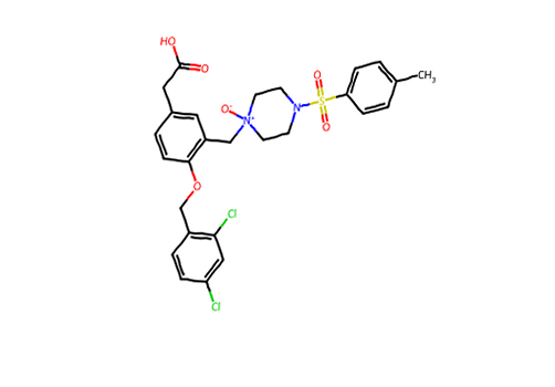 Cc1ccc(S(=O)(=O)N2CC[N+]([O-])(Cc3cc(CC(=O)O)ccc3OCc3ccc(Cl)cc3Cl)CC2)cc1